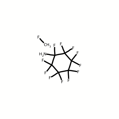 CF.NC1(F)C(F)(F)C(F)(F)C(F)(F)C(F)(F)C1(F)F